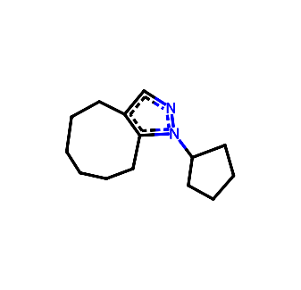 c1nn(C2CCCC2)c2c1CCCCCC2